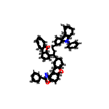 c1ccc(-c2nc3c(ccc4oc5ccc(C(CCc6ccc7c8ccccc8n(-c8ccccc8)c7c6)c6cccc7c6oc6ccccc67)cc5c43)o2)cc1